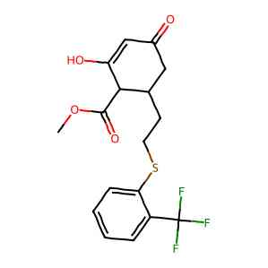 COC(=O)C1C(O)=CC(=O)CC1CCSc1ccccc1C(F)(F)F